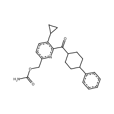 NC(=O)OCc1ccc(C2CC2)c(C(=O)C2CCC(c3ccccc3)CC2)n1